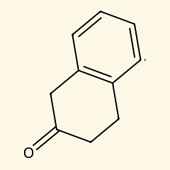 O=C1CCc2[c]cccc2C1